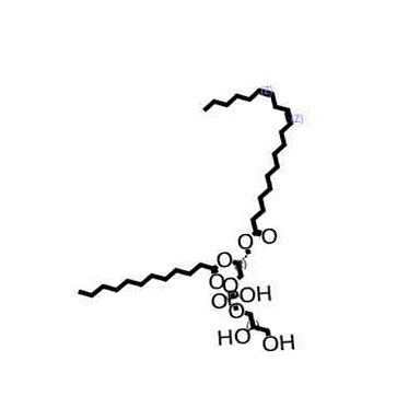 CCCCC/C=C\C/C=C\CCCCCCCCCC(=O)OC[C@H](COP(=O)(O)OC[C@@H](O)CO)OC(=O)CCCCCCCCCCC